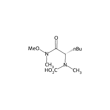 CCCC[C@@H](C(=O)N(C)OC)N(C)C(=O)O